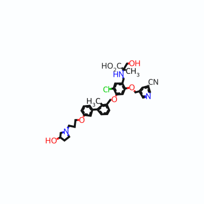 Cc1c(COc2cc(OCc3cncc(C#N)c3)c(CNC(C)(CO)C(=O)O)cc2Cl)cccc1-c1cccc(OCCCN2CCC(O)C2)c1